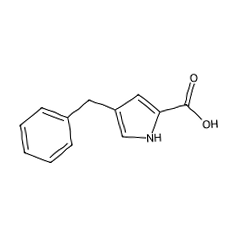 O=C(O)c1cc(Cc2ccccc2)c[nH]1